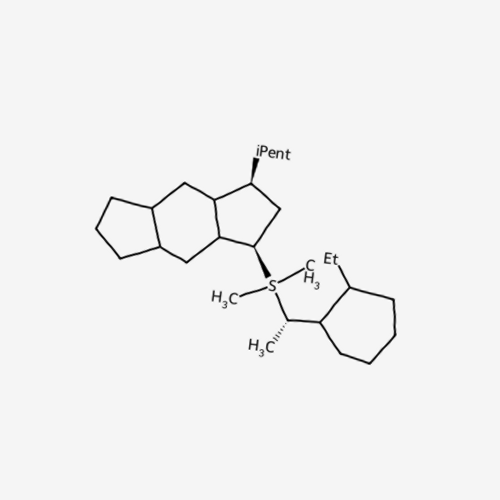 CCCC(C)[C@H]1C[C@@H](S(C)(C)[C@@H](C)C2CCCCC2CC)C2CC3CCCC3CC21